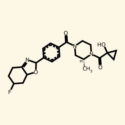 C[C@@H]1CN(C(=O)c2ccc(C3N=C4CCC(F)CC4O3)cc2)CCN1C(=O)C1(O)CC1